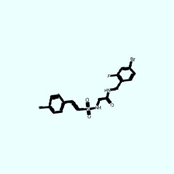 Cc1ccc(/C=C/S(=O)(=O)NCC(=O)NCc2ccc(Br)cc2F)cc1